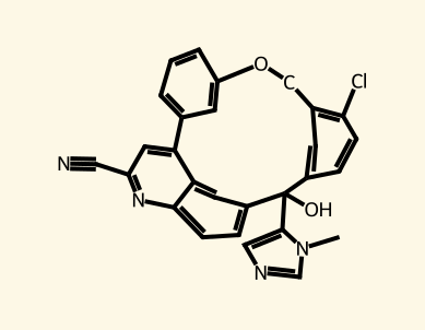 Cn1cncc1C1(O)c2ccc(Cl)c(c2)COc2cccc(c2)-c2cc(C#N)nc3ccc1cc23